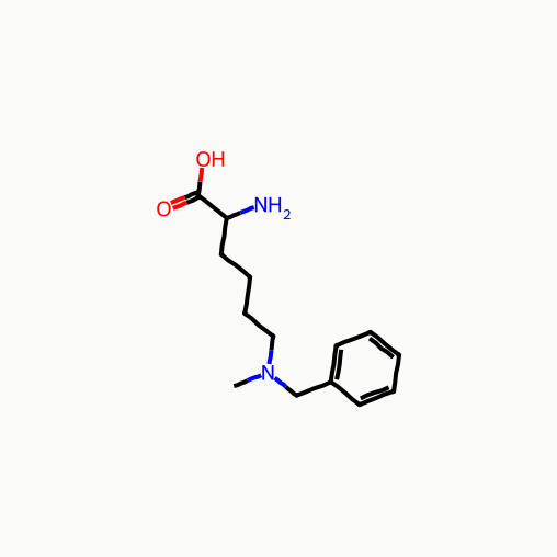 CN(CCCCC(N)C(=O)O)Cc1ccccc1